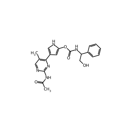 CC(=O)Nc1ncc(C)c(-c2c[nH]c(OC(=O)NC(CO)c3ccccc3)c2)n1